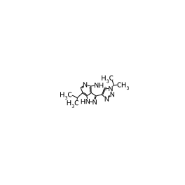 CC(C)c1cnc(N)c2c(-c3cn(C(C)C)nn3)n[nH]c12